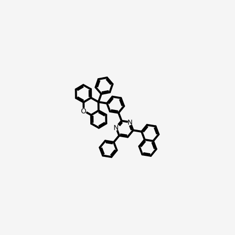 c1ccc(-c2cc(-c3cccc4ccccc34)nc(-c3cccc(C4(c5ccccc5)c5ccccc5Oc5ccccc54)c3)n2)cc1